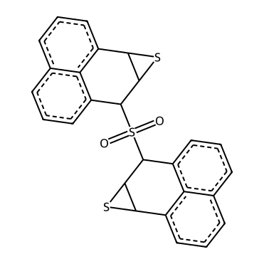 O=S(=O)(C1c2cccc3cccc(c23)C2SC21)C1c2cccc3cccc(c23)C2SC21